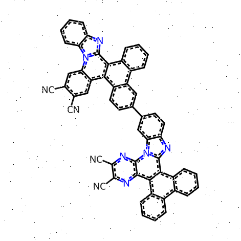 N#Cc1cc2c3c4ccc(-c5ccc6nc7c8c9ccccc9c9ccccc9c8c8nc(C#N)c(C#N)nc8n7c6c5)cc4c4ccccc4c3c3nc4ccccc4n3c2cc1C#N